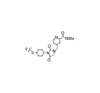 CNC(=O)c1cc(CN2CC(=O)N(c3ccc(SC(F)(F)F)cc3)C2=O)ccn1